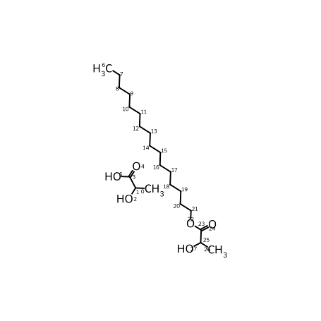 CC(O)C(=O)O.CCCCCCCCCCCCCCCCOC(=O)C(C)O